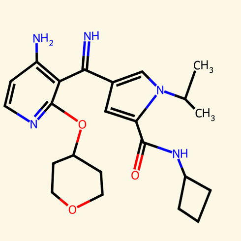 CC(C)n1cc(C(=N)c2c(N)ccnc2OC2CCOCC2)cc1C(=O)NC1CCC1